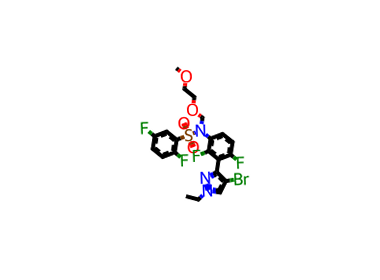 CCn1cc(Br)c(-c2c(F)ccc(N(COCCOC)S(=O)(=O)c3cc(F)ccc3F)c2F)n1